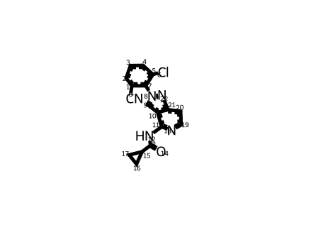 N#Cc1cccc(Cl)c1-n1cc2c(NC(=O)C3CC3)nccc2n1